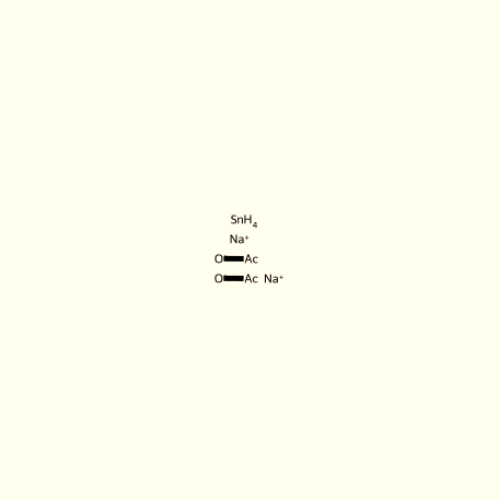 CC(=O)[O-].CC(=O)[O-].[Na+].[Na+].[SnH4]